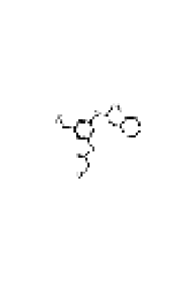 CCC(=O)Oc1cc(CC)cc(OC(C)OC2CCCCC2)c1